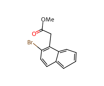 COC(=O)Cc1c(Br)ccc2ccccc12